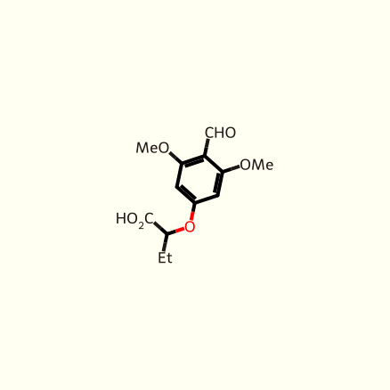 CCC(Oc1cc(OC)c(C=O)c(OC)c1)C(=O)O